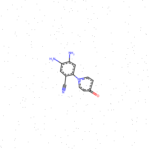 N#Cc1cc(N)c(N)cc1-n1ccc(=O)cc1